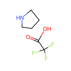 C1CCNC1.O=C(O)C(F)(F)F